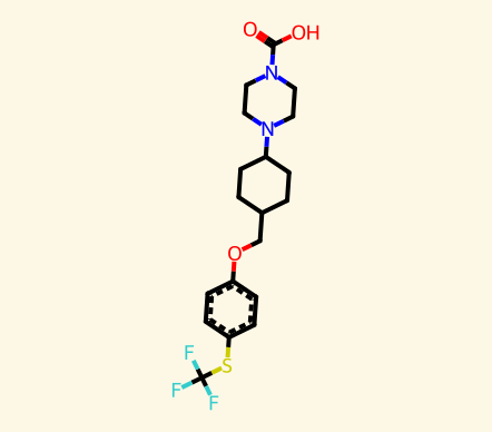 O=C(O)N1CCN(C2CCC(COc3ccc(SC(F)(F)F)cc3)CC2)CC1